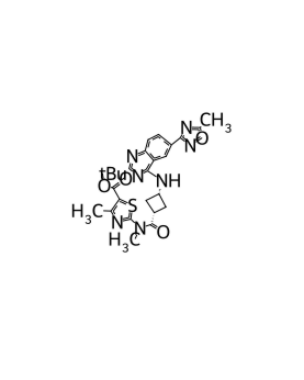 Cc1nc(-c2ccc3ncnc(N[C@H]4C[C@@H](C(=O)N(C)c5nc(C)c(C(=O)OC(C)(C)C)s5)C4)c3c2)no1